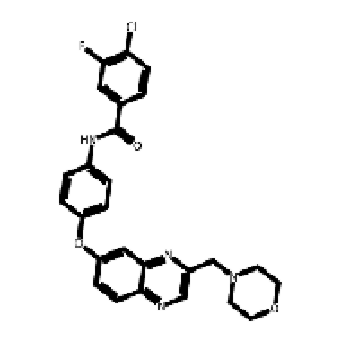 O=C(Nc1ccc(Oc2ccc3ncc(CN4CCOCC4)nc3c2)cc1)c1ccc(Cl)c(F)c1